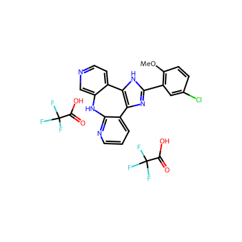 COc1ccc(Cl)cc1-c1nc2c([nH]1)-c1ccncc1Nc1ncccc1-2.O=C(O)C(F)(F)F.O=C(O)C(F)(F)F